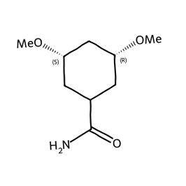 CO[C@@H]1CC(C(N)=O)C[C@H](OC)C1